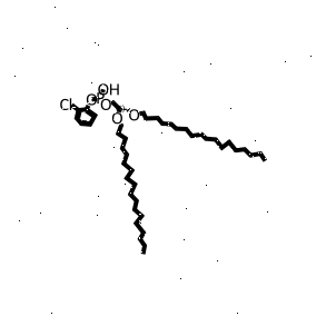 CCCCCCCCCCCCCCCCCCOC[C@@H](COP(O)Oc1ccccc1Cl)OCCCCCCCCCCCCCCCCCC